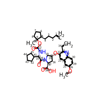 C=CCCC[C@@H]1CCC[C@]1(C)OC(=O)N[C@H](C(=O)N1C[C@H](Oc2cc3cc(OC)ccc3nc2C=C)C[C@H]1C(=O)O)C1CCCC1